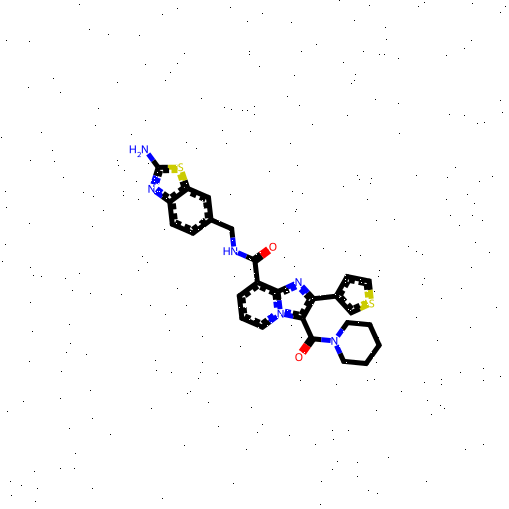 Nc1nc2ccc(CNC(=O)c3cccn4c(C(=O)N5CCCCC5)c(-c5ccsc5)nc34)cc2s1